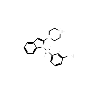 N#Cc1cccc(S(=O)(=O)n2c(N3CCNCC3)cc3ccccc32)c1